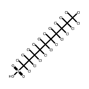 O=S(=O)(O)C(Cl)(Cl)C(Cl)(Cl)C(Cl)(Cl)C(Cl)(Cl)C(Cl)(Cl)C(Cl)(Cl)C(Cl)(Cl)C(Cl)(Cl)C(Cl)(Cl)C(Cl)(Cl)Cl